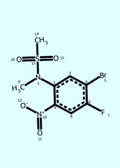 CN(c1cc(Br)c(F)cc1[N+](=O)[O-])S(C)(=O)=O